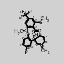 COc1cc(C(F)(F)F)cc(SC)c1C(=O)N[C@@]1(c2cc(F)ccc2F)CCCN(C)C1